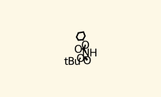 CC(C)(C)OC(=O)NC(=O)OC1CCCCC1